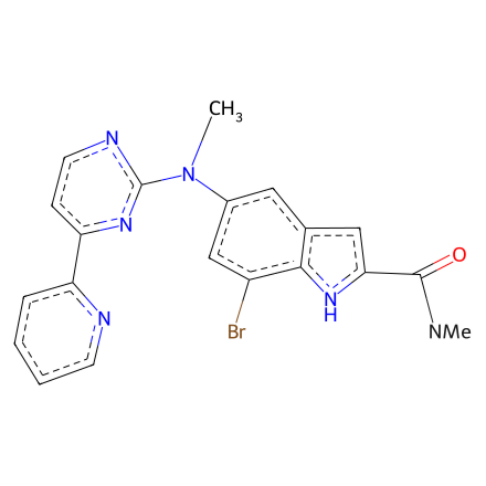 CNC(=O)c1cc2cc(N(C)c3nccc(-c4ccccn4)n3)cc(Br)c2[nH]1